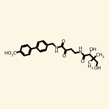 CC(C)(CO)[C@@H](O)C(=O)NCCC(=O)C(=O)NCc1ccc(-c2ccc(C(=O)O)cc2)cc1